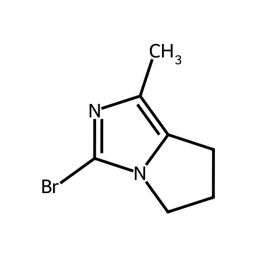 Cc1nc(Br)n2c1CCC2